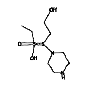 CCS(=O)(O)=S(CCO)N1CCNCC1